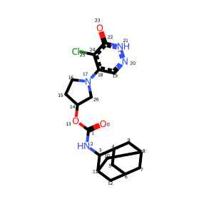 O=C(NC1C2CC3CC(C2)CC1C3)OC1CCN(c2cn[nH]c(=O)c2Cl)C1